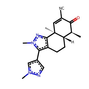 [C-]#[N+]C1=C[C@]2(C)c3nn(C)c(-c4cnn(C)c4)c3CC[C@H]2[C@H](C)C1=O